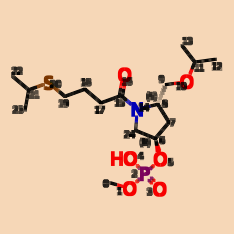 COP(=O)(O)O[C@@H]1C[C@@H](COC(C)C)N(C(=O)CCCSC(C)C)C1